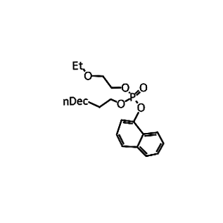 CCCCCCCCCCCCOP(=O)(OCCOCC)Oc1cccc2ccccc12